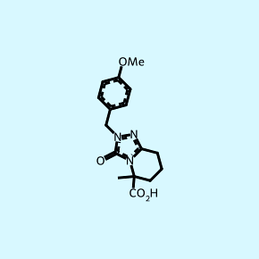 COc1ccc(Cn2nc3n(c2=O)C(C)(C(=O)O)CCC3)cc1